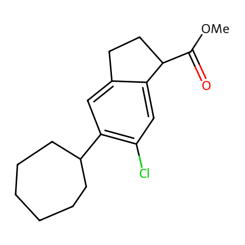 COC(=O)C1CCc2cc(C3CCCCCC3)c(Cl)cc21